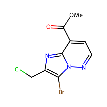 COC(=O)c1ccnn2c(Br)c(CCl)nc12